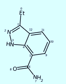 CCc1n[nH]c2c(C(N)=O)cccc12